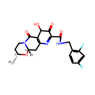 C[C@@H]1CCN2C(=O)C3=C(C[C@@H]2O1)N=C(C(=O)NCc1ccc(F)cc1F)C(=O)C3O